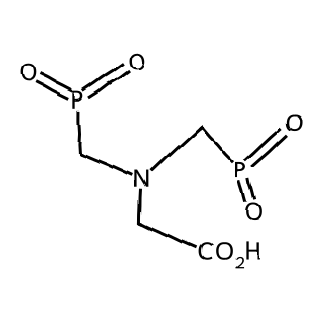 O=C(O)CN(CP(=O)=O)CP(=O)=O